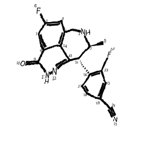 C[C@@H]1Nc2cc(F)cc3c(=O)[nH]nc(c23)[C@H]1c1ccc(C#N)cc1F